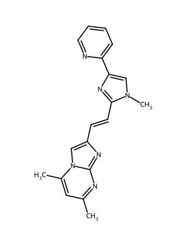 Cc1cc(C)n2cc(C=Cc3nc(-c4ccccn4)cn3C)nc2n1